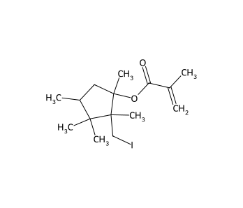 C=C(C)C(=O)OC1(C)CC(C)C(C)(C)C1(C)CI